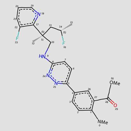 CNc1ccc(-c2ccc(NC[C@](C)(C[C@H](C)F)c3ncccc3F)nn2)cc1C(=O)OC